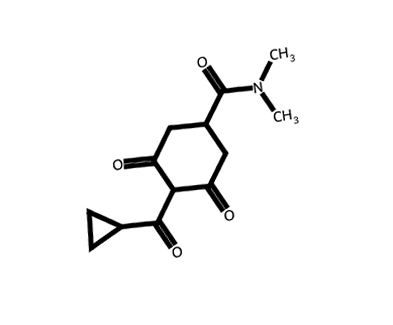 CN(C)C(=O)C1CC(=O)C(C(=O)C2CC2)C(=O)C1